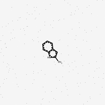 Pc1cc2ccccc2[nH]1